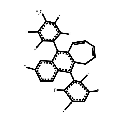 Fc1ccc2c(-c3c(F)c(F)cc(F)c3F)c3c(c(-c4c(F)c(F)c(C(F)(F)F)c(F)c4F)c2c1)C=CC=CC3